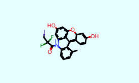 Cc1cccc(NC(=O)C(F)(F)CI)c1C1=C2C=CC(O)=CC2Oc2cc(O)ccc21